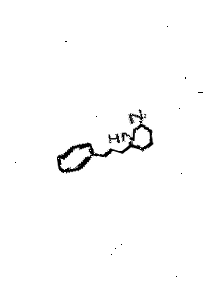 [N]C1CCCC(CC=Cc2ccccc2)N1